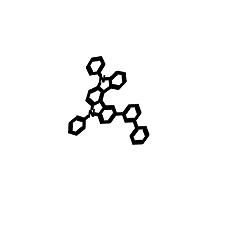 c1ccc(-c2cccc(-c3ccc4c(c3)c3c5c6ccccc6n(-c6ccccc6)c5ccc3n4-c3ccccc3)c2)cc1